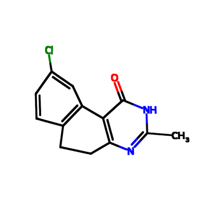 Cc1nc2c(c(=O)[nH]1)-c1cc(Cl)ccc1CC2